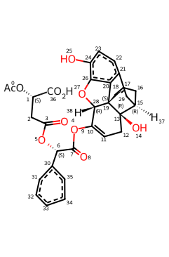 CC(=O)O[C@@H](CC(=O)O[C@H](C(=O)OC1=CC[C@@]2(O)[C@@H]3CC=C[C@@]24c2c(ccc(O)c2O[C@@H]14)C3)c1ccccc1)C(=O)O